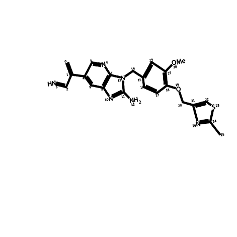 C=C(C=N)c1cnc2c(c1)nc(N)n2Cc1ccc(OCc2csc(C)n2)c(OC)c1